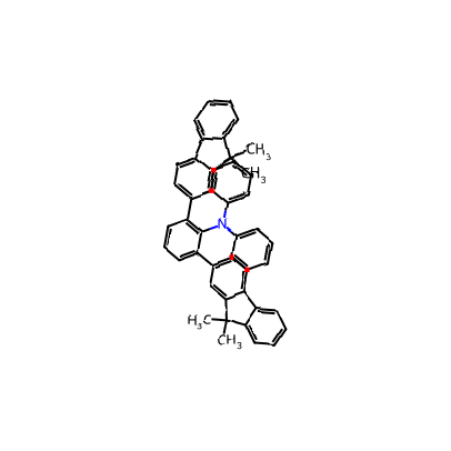 CC1(C)c2ccccc2-c2ccc(-c3cccc(-c4ccc5c(c4)C(C)(C)c4ccccc4-5)c3N(c3ccccc3)c3ccccc3)cc21